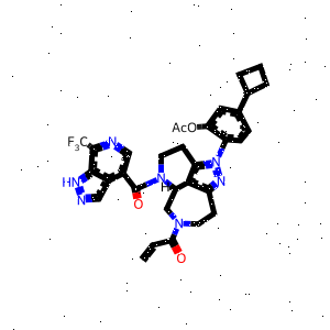 C=CC(=O)N1CCc2nn(-c3ccc(C4CCC4)cc3OC(C)=O)c3c2[C@H](C1)N(C(=O)c1cnc(C(F)(F)F)c2[nH]ncc12)CC3